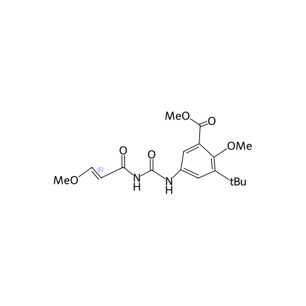 CO/C=C/C(=O)NC(=O)Nc1cc(C(=O)OC)c(OC)c(C(C)(C)C)c1